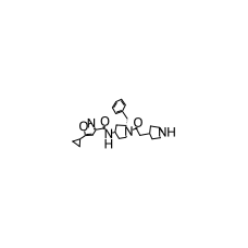 O=C(N[C@@H]1CCN(C(=O)CC2CCNCC2)[C@@H](Cc2ccccc2)C1)c1cc(C2CC2)on1